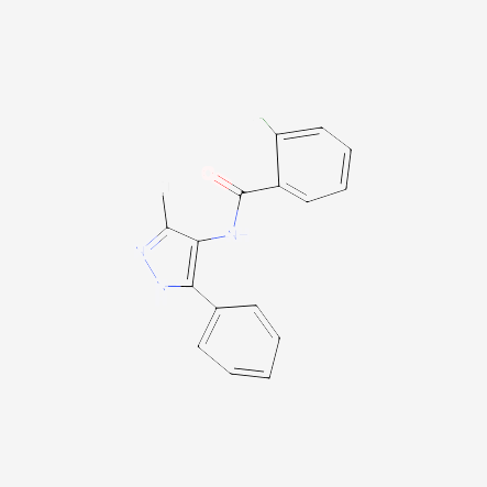 Cc1n[nH]c(-c2ccccc2)c1NC(=O)c1ccccc1Cl